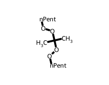 CCCCCOOC(C)(C)OOCCCCC